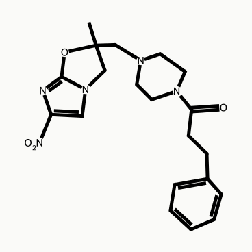 CC1(CN2CCN(C(=O)CCc3ccccc3)CC2)Cn2cc([N+](=O)[O-])nc2O1